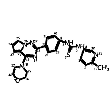 Cc1ccc(NC(=S)Nc2ccc(-c3nc(N4CCOCC4)c4cccn4n3)cc2)cn1